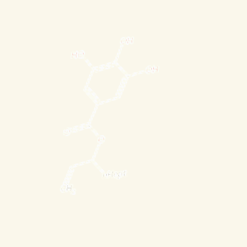 C=CC(CCCCCCC)OC(=O)c1cc(O)c(O)c(O)c1